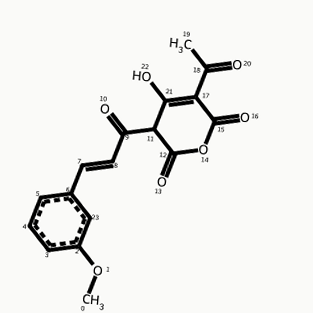 COc1cccc(/C=C/C(=O)C2C(=O)OC(=O)C(C(C)=O)=C2O)c1